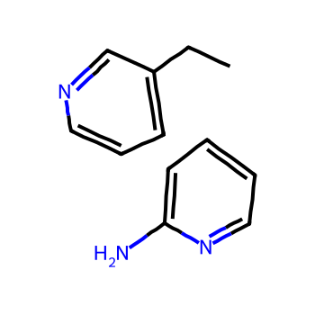 CCc1cccnc1.Nc1ccccn1